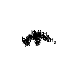 COc1ccc(CNC(=O)N(C(C)C)N2CC(=O)N3[C@@H](Cc4ccc(NC(=O)c5cccc6ccccc56)cc4)C(=O)N(Cc4cccc5ccccc45)C[C@@H]32)cc1